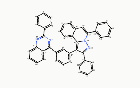 c1ccc(-c2nc(-c3cccc(-c4c(-c5ccccc5)nn5c(-c6ccccc6)cc6ccccc6c45)c3)c3ccccc3n2)cc1